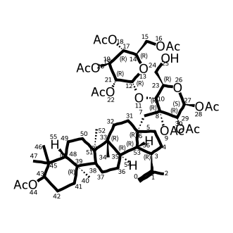 C=C(C)[C@@H]1CC[C@]2(C[C@@]3(OC(C)=O)[C@H](O[C@H]4O[C@H](COC(C)=O)[C@@H](OC(C)=O)[C@H](OC(C)=O)[C@H]4OC(C)=O)[C@@H](CO)O[C@@H](OC(C)=O)[C@@H]3OC(C)=O)CC[C@]3(C)[C@H](CCC4[C@@]5(C)CCC(OC(C)=O)C(C)(C)[C@@H]5CC[C@]43C)[C@@H]12